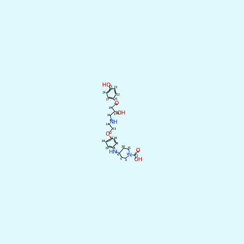 O=C(O)N1CCC(Nc2ccc(OCCNC[C@H](O)COc3ccc(O)cc3)cc2)CC1